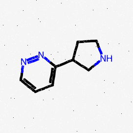 c1cnnc(C2CCNC2)c1